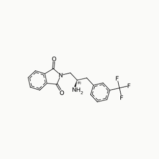 N[C@H](Cc1cccc(C(F)(F)F)c1)CN1C(=O)c2ccccc2C1=O